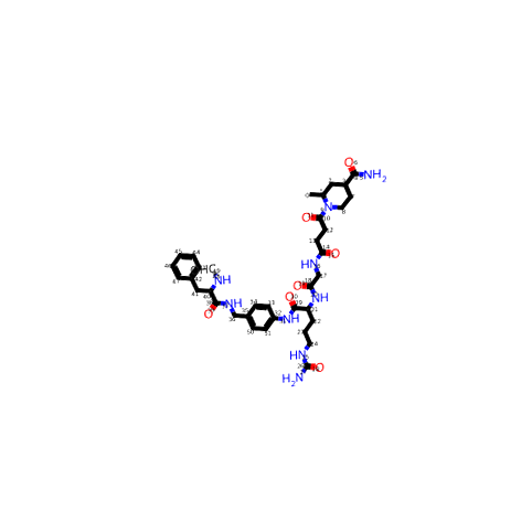 CC1CC(C(N)=O)CCN1C(=O)CCC(=O)NCC(=O)NC(CCCNC(N)=O)C(=O)Nc1ccc(CNC(=O)C(Cc2ccccc2)NC=O)cc1